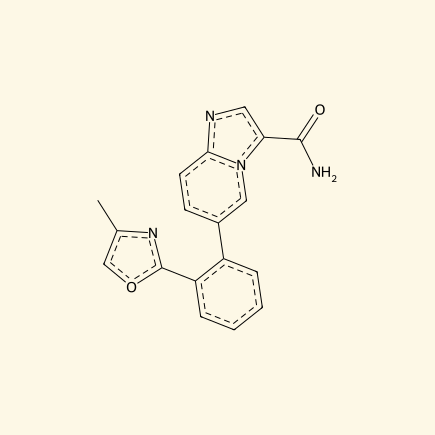 Cc1coc(-c2ccccc2-c2ccc3ncc(C(N)=O)n3c2)n1